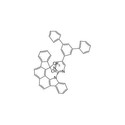 CC1(C)c2ccccc2-c2ccc3ccc4c5ccccc5n(-c5ncc(-c6cc(-c7ccccc7)cc(-c7ccccc7)c6)cn5)c4c3c21